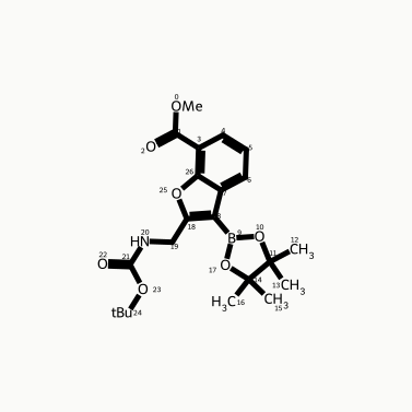 COC(=O)c1cccc2c(B3OC(C)(C)C(C)(C)O3)c(CNC(=O)OC(C)(C)C)oc12